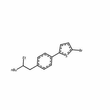 CCCCC(CC)Cc1ccc(-c2ccc(Br)s2)cc1